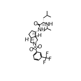 CC(C)C[C@H](NC(C)C)C(=O)N[C@H]1CC[C@@H]2CN(S(=O)(=O)c3cccc(C(F)(F)F)c3)C[C@@H]21